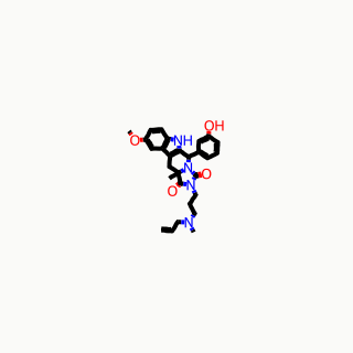 C=CCN(C)CCCN1C(=O)N2C(c3cccc(O)c3)c3[nH]c4ccc(OC)cc4c3CC2(C)C1=O